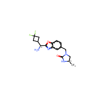 N[C@H](c1nc2cc(CN3C[C@@H](C(F)(F)F)NC3=O)ccc2o1)C1CC(F)(F)C1